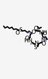 C/C=C1\NC(=O)c2csc(n2)[C@H](C)NC(=O)C[C@@H](/C=C/CCSC(=O)CCCCCCC)OC(=O)[C@H](C(C)C)NC1=O